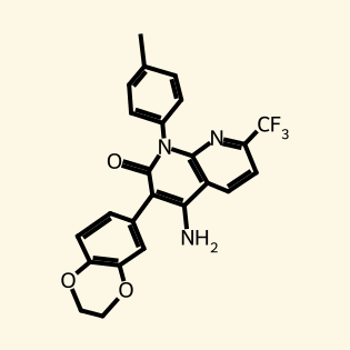 Cc1ccc(-n2c(=O)c(-c3ccc4c(c3)OCCO4)c(N)c3ccc(C(F)(F)F)nc32)cc1